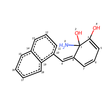 NC1(O)C(O)=CC=CC1=Cc1cccc2ccccc12